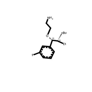 CCCC[C@H](CC)[C@@H](OCCN)c1cccc(F)c1